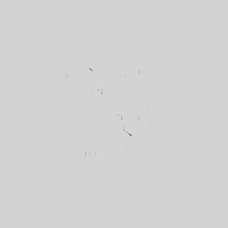 CC[C@@H](COC)NCCN(CP(C)(C)=O)[C@@H](CC)COC